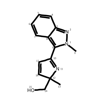 Cn1nc2ccccc2c1C1=NC(C)(CO)C=C1